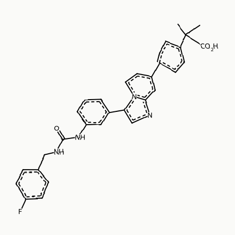 CC(C)(C(=O)O)c1ccc(-c2ccn3c(-c4cccc(NC(=O)NCc5ccc(F)cc5)c4)cnc3c2)cc1